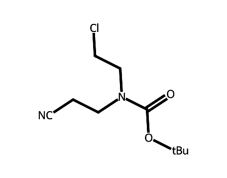 CC(C)(C)OC(=O)N(CCCl)CCC#N